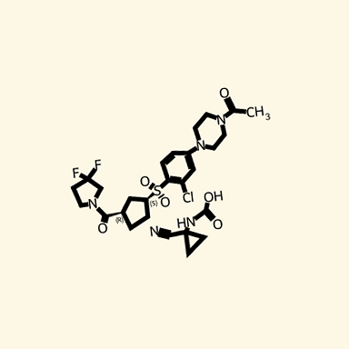 CC(=O)N1CCN(c2ccc(S(=O)(=O)[C@H]3CC[C@@H](C(=O)N4CCC(F)(F)C4)C3)c(Cl)c2)CC1.N#CC1(NC(=O)O)CC1